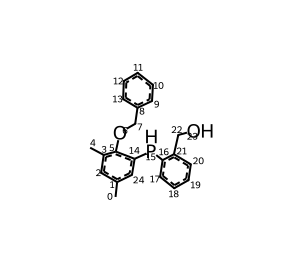 Cc1cc(C)c(OCc2ccccc2)c(Pc2ccccc2CO)c1